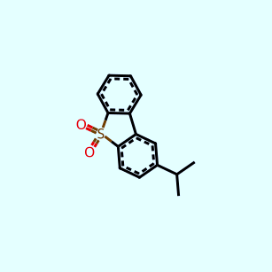 CC(C)c1ccc2c(c1)-c1ccccc1S2(=O)=O